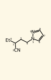 CCC(C#N)CCn1cccn1